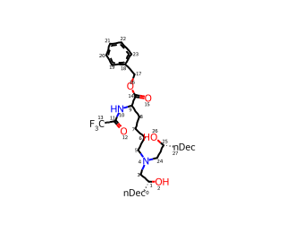 CCCCCCCCCC[C@@H](O)CN(CCCCC(NC(=O)C(F)(F)F)C(=O)OCc1ccccc1)C[C@H](O)CCCCCCCCCC